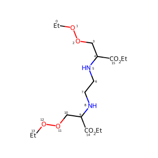 CCOOCC(NCCNC(COOCC)C(=O)OCC)C(=O)OCC